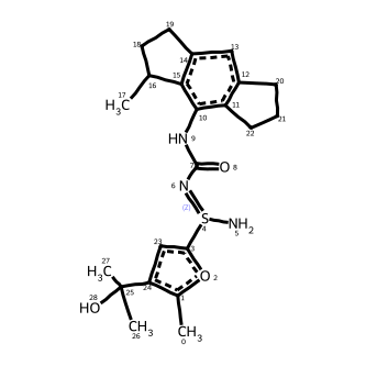 Cc1oc(/S(N)=N/C(=O)Nc2c3c(cc4c2C(C)CC4)CCC3)cc1C(C)(C)O